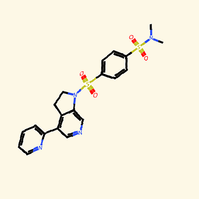 CN(C)S(=O)(=O)c1ccc(S(=O)(=O)N2CCc3c(-c4ccccn4)cncc32)cc1